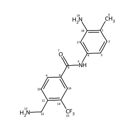 Cc1ccc(NC(=O)c2ccc(CN)c(C(F)(F)F)c2)cc1N